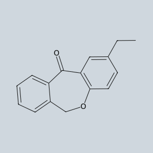 CCc1ccc2c(c1)C(=O)c1ccccc1CO2